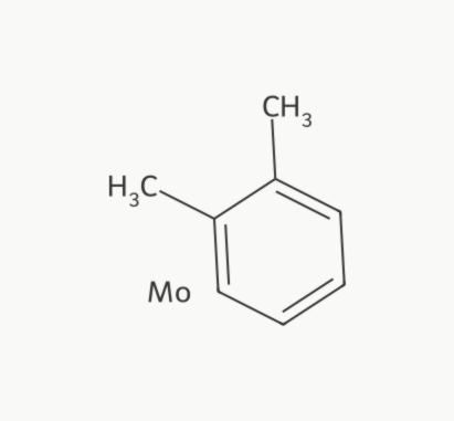 Cc1ccccc1C.[Mo]